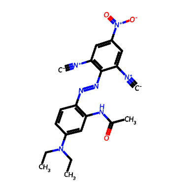 [C-]#[N+]c1cc([N+](=O)[O-])cc([N+]#[C-])c1/N=N/c1ccc(N(CC)CC)cc1NC(C)=O